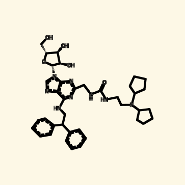 O=C(NCCN(C1CCCC1)C1CCCC1)NCc1nc(NCC(c2ccccc2)c2ccccc2)c2ncn([C@@H]3O[C@H](CO)[C@@H](O)[C@H]3O)c2n1